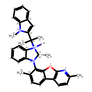 Cc1ccc2c(n1)oc1c(N3c4ccccc4[N+](I)(C(C)(C)c4cc5ccccc5n4C)[C@@H]3C)c(C)ccc12